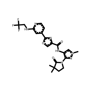 Cn1cc(NC(=O)c2coc(-c3ccnc(NCC(F)(F)F)c3)n2)c(N2CCC(C)(C)C2=O)n1